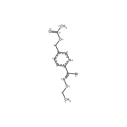 CCON=C(Br)c1ccc(COC(C)=O)cn1